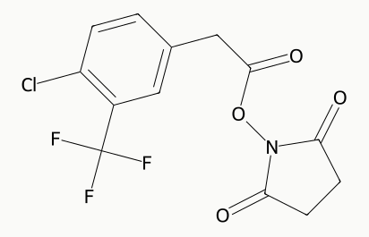 O=C(Cc1ccc(Cl)c(C(F)(F)F)c1)ON1C(=O)CCC1=O